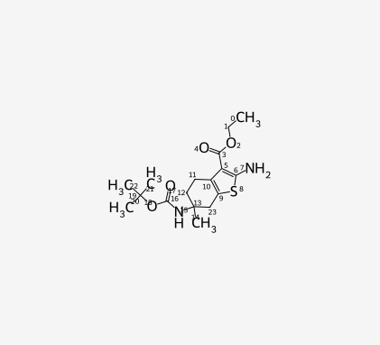 CCOC(=O)c1c(N)sc2c1CCC(C)(NC(=O)OC(C)(C)C)C2